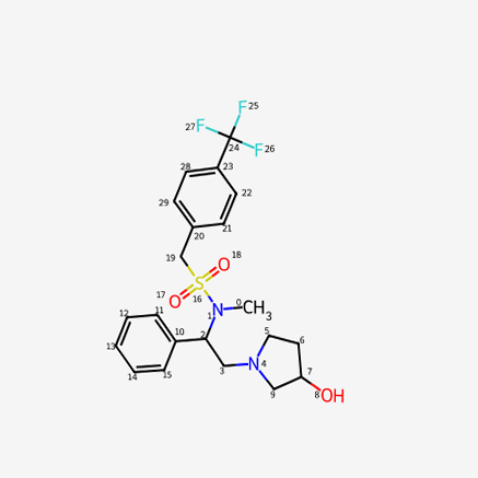 CN(C(CN1CCC(O)C1)c1ccccc1)S(=O)(=O)Cc1ccc(C(F)(F)F)cc1